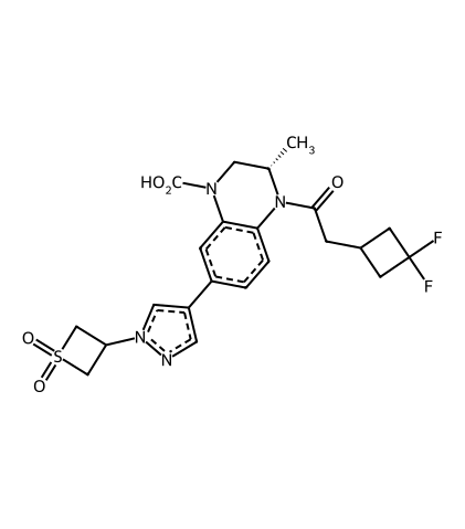 C[C@H]1CN(C(=O)O)c2cc(-c3cnn(C4CS(=O)(=O)C4)c3)ccc2N1C(=O)CC1CC(F)(F)C1